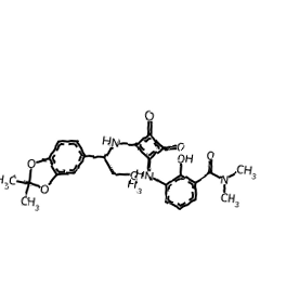 CCC(Nc1c(Nc2cccc(C(=O)N(C)C)c2O)c(=O)c1=O)c1ccc2c(c1)OC(C)(C)O2